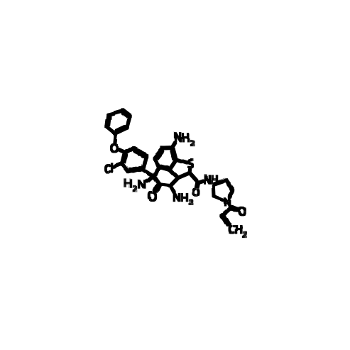 C=CC(=O)N1CCC(NC(=O)C2Sc3c(N)ccc4c3C2C(N)C(=O)C4(N)c2ccc(Oc3ccccc3)c(Cl)c2)C1